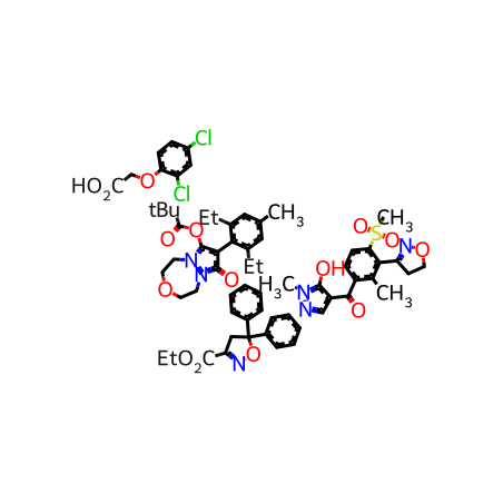 CCOC(=O)C1=NOC(c2ccccc2)(c2ccccc2)C1.CCc1cc(C)cc(CC)c1-c1c(OC(=O)C(C)(C)C)n2n(c1=O)CCOCC2.Cc1c(C(=O)c2cnn(C)c2O)ccc(S(C)(=O)=O)c1C1=NOCC1.O=C(O)COc1ccc(Cl)cc1Cl